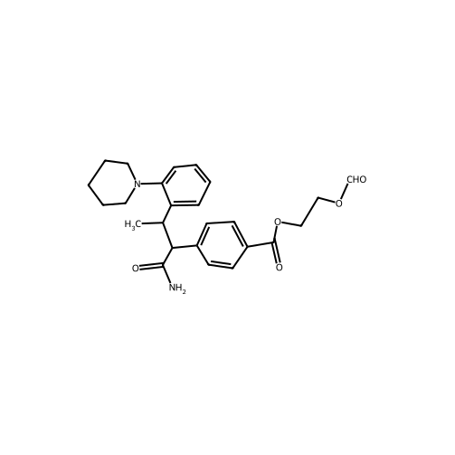 CC(c1ccccc1N1CCCCC1)C(C(N)=O)c1ccc(C(=O)OCCOC=O)cc1